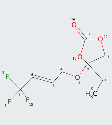 CCC1(OCC=CC(F)(F)F)COC(=O)O1